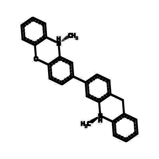 C[Si@@H]1c2ccccc2Cc2ccc(-c3ccc4c(c3)[Si@@H](C)c3ccccc3O4)cc21